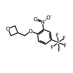 O=[N+]([O-])c1cc(S(F)(F)(F)(F)F)ccc1OCC1COC1